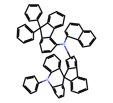 c1ccc(N2c3ccccc3C3(c4ccccc4-c4ccc(N(c5cccc6c5-c5ccccc5C6(c5ccccc5)c5ccccc5)c5cccc6ccccc56)cc43)c3ccccc32)cc1